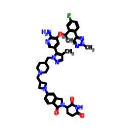 Cc1cnn(CC2CCN(CC3CN(c4ccc5c(c4)CN(C4CCC(=O)NC4=O)C5=O)C3)CC2)c1-c1cnc(N)c(O[C@H](C)c2cc(F)ccc2-c2cnn(C)n2)c1